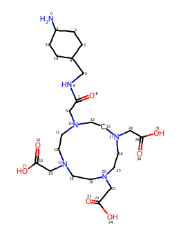 NC1CCC(CNC(=O)CN2CCN(CC(=O)O)CCN(CC(=O)O)CCN(CC(=O)O)CC2)CC1